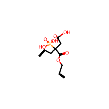 C=CCOC(=O)C(CC=C)(CC(=O)O)P(=O)(O)O